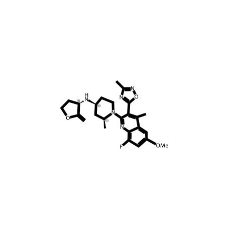 C=C1OCC[C@@H]1N[C@H]1CCN(c2nc3c(F)cc(OC)cc3c(C)c2-c2nc(C)no2)[C@@H](C)C1